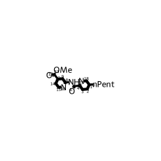 CCCCCc1ccc(C(=O)Nc2cc(C(=O)OC)ccn2)nc1